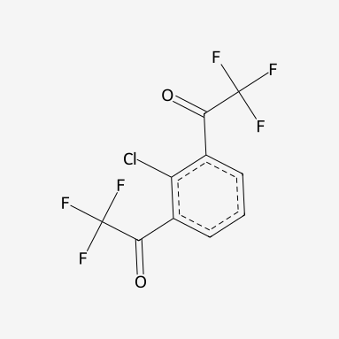 O=C(c1cccc(C(=O)C(F)(F)F)c1Cl)C(F)(F)F